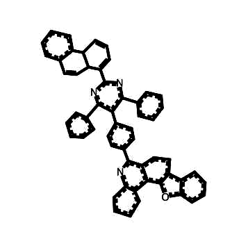 C1=CC2c3ccccc3C=CC2C(c2nc(-c3ccccc3)c(-c3ccc(-c4nc5ccccc5c5c4ccc4c6ccccc6oc45)cc3)c(-c3ccccc3)n2)=C1